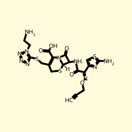 C#CCO/N=C(\C(=O)NC1C(=O)N2C(C(=O)O)=C(CSc3nnnn3CCN)CS[C@H]12)c1csc(N)n1